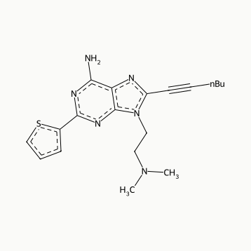 CCCCC#Cc1nc2c(N)nc(-c3cccs3)nc2n1CCN(C)C